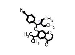 C=C/C(=C\C)C(Oc1cc2c(cc1C(C)C)C(=O)CCO2)c1ccc(C#N)cc1